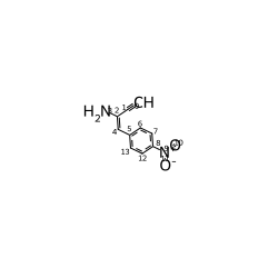 C#C/C(N)=C\c1ccc([N+](=O)[O-])cc1